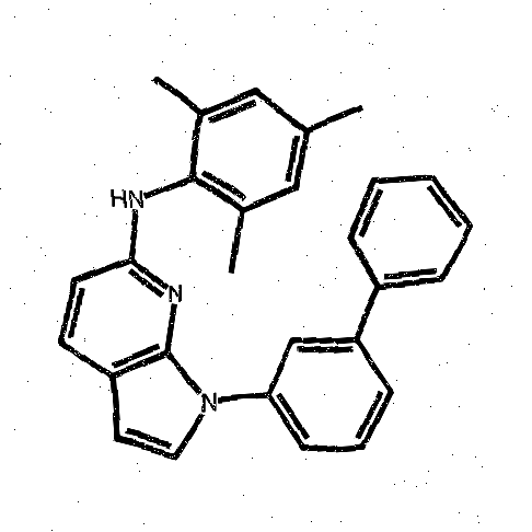 Cc1cc(C)c(Nc2ccc3ccn(-c4cccc(-c5ccccc5)c4)c3n2)c(C)c1